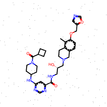 Cc1c(OCc2cnco2)ccc2c1CCN(C[C@@H](O)CNC(=O)c1cc(NC3CCN(C(=O)C4CCC4)CC3)ncn1)C2